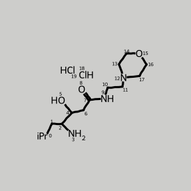 CC(C)CC(N)C(O)CC(=O)NCCN1CCOCC1.Cl.Cl